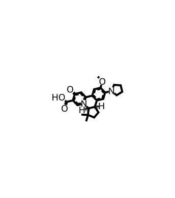 COc1cc2c(cc1N1CCCC1)[C@@H]1CCC(C)(C)[C@@H]1n1cc(C(=O)O)c(=O)cc1-2